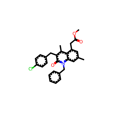 COC(=O)Cc1cc(C)cc2c1c(C)c(Cc1ccc(Cl)cc1)c(=O)n2Cc1ccccc1